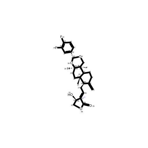 C=C1CCC2[C@]3(C)CO[C@@H](c4ccc(F)c(F)c4)O[C@@H]3CC[C@@]2(C)[C@@H]1C/C=C1/C(=O)OC[C@H]1O